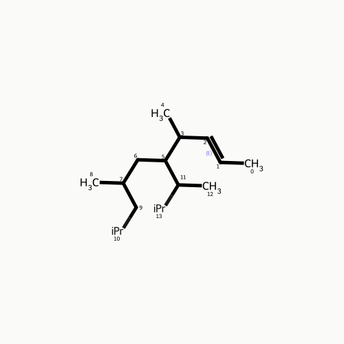 C/C=C/C(C)C(CC(C)CC(C)C)C(C)C(C)C